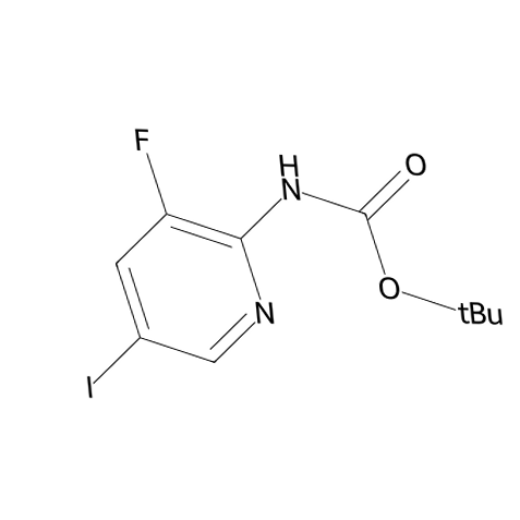 CC(C)(C)OC(=O)Nc1ncc(I)cc1F